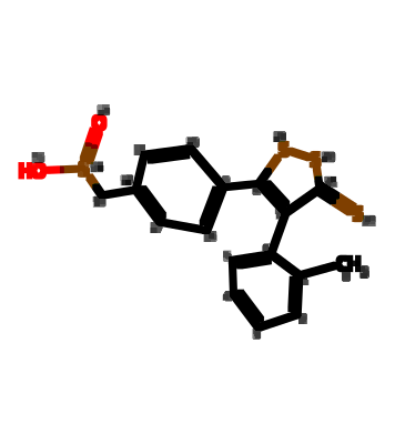 Cc1ccccc1-c1c(-c2ccc(CS(=O)O)cc2)ssc1=S